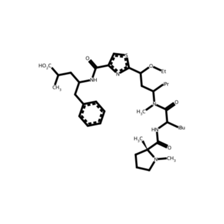 CCOC(CC(C(C)C)N(C)C(=O)C(NC(=O)[C@@]1(C)CCCN1C)C(C)CC)c1nc(C(=O)NC(Cc2ccccc2)CC(C)C(=O)O)cs1